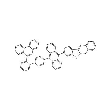 c1ccc(-c2cc3ccccc3c3ccccc23)c(-c2ccc(-c3c4ccccc4c(-c4ccc5c(c4)sc4cc6ccccc6cc45)c4ccccc34)cc2)c1